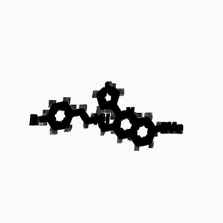 CSc1ccc2cc(CNCCc3ccc(Br)cc3)c(-c3ccsc3)nc2c1